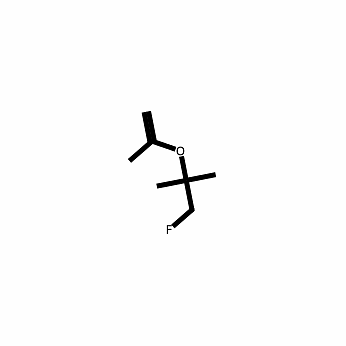 C=C(C)OC(C)(C)CF